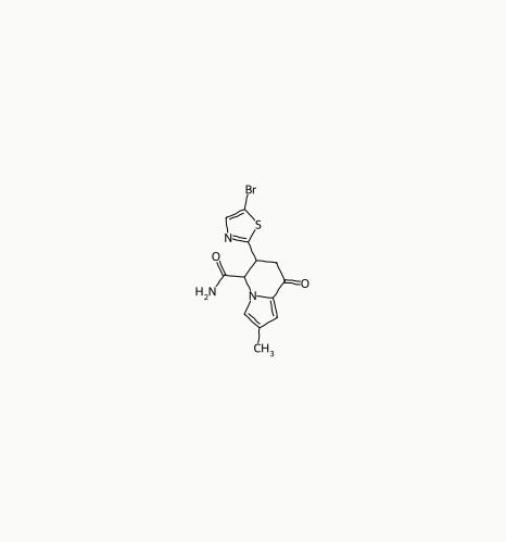 Cc1cc2n(c1)C(C(N)=O)C(c1ncc(Br)s1)CC2=O